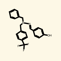 Oc1ccc(C=NN(Cc2ccccc2)Cc2ccc(C(F)(F)F)cc2)cc1